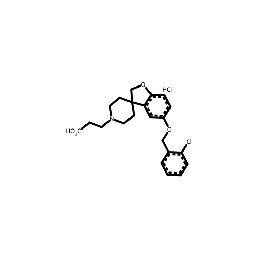 Cl.O=C(O)CCN1CCC2(CC1)COc1ccc(OCc3ccccc3Cl)cc12